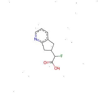 O=C(O)C(F)C1Cc2cccnc2C1